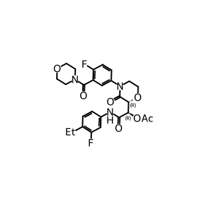 CCc1ccc(NC(=O)[C@H](OC(C)=O)[C@H]2OCCN(c3ccc(F)c(C(=O)N4CCOCC4)c3)C2=O)cc1F